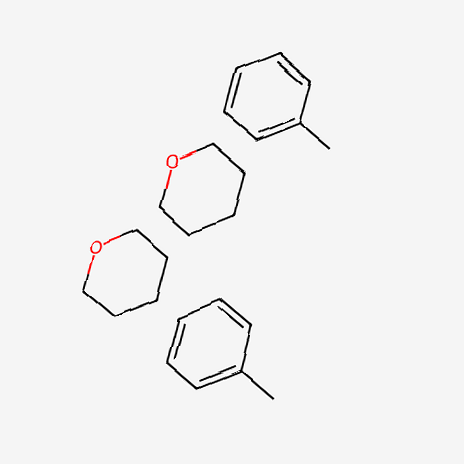 C1CCOCC1.C1CCOCC1.Cc1ccccc1.Cc1ccccc1